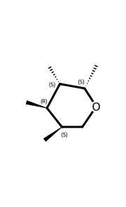 C[C@H]1[C@H](C)[C@H](C)OC[C@H]1C